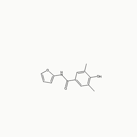 Cc1cc(C(=O)Nc2ccco2)cc(C)c1O